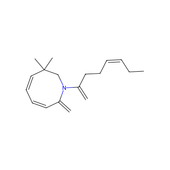 C=C1/C=C\C=C/C(C)(C)CN1C(=C)CC/C=C\CC